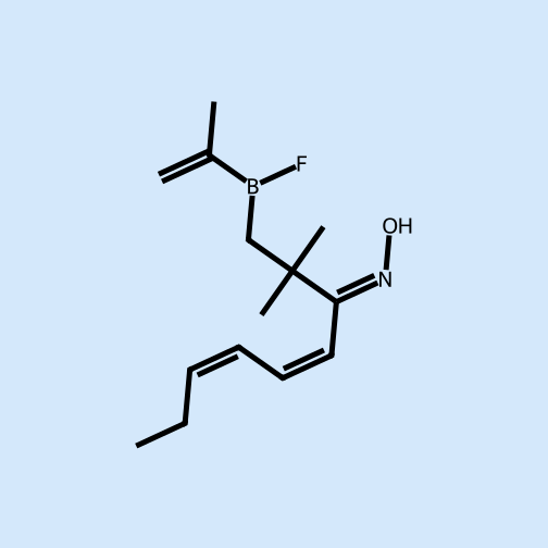 C=C(C)B(F)CC(C)(C)C(/C=C\C=C/CC)=N\O